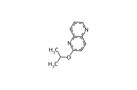 CC(C)Oc1ccc2ncccc2n1